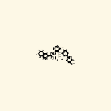 CCc1cnc(N2CCC(Oc3ncnc(ON=C(C)c4ccc5c(c4)CCCC5)c3C)CC2)nc1